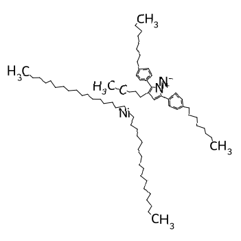 CCCCCCCCCCCCCCCC[CH2][Ni][CH2]CCCCCCCCCCCCCCCC.CCCCCCCCc1ccc(C2=CC(CCCCCC)=C(c3ccc(CCCCCCCC)cc3)[N+]2=[N-])cc1